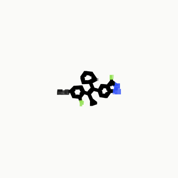 COc1ccc(/C(=C(\c2[c]cccc2)c2ccc3[nH]nc(F)c3c2)C2CC2)c(F)c1